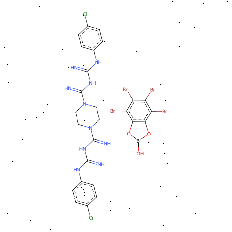 N=C(NC(=N)N1CCN(C(=N)NC(=N)Nc2ccc(Cl)cc2)CC1)Nc1ccc(Cl)cc1.[OH][Bi]1[O]c2c(Br)c(Br)c(Br)c(Br)c2[O]1